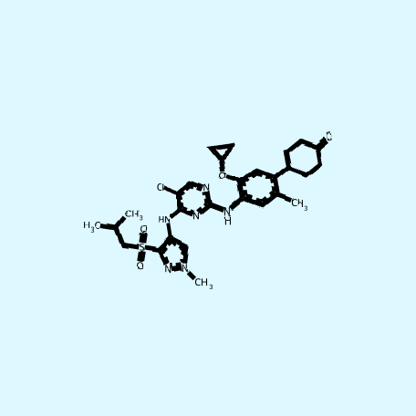 Cc1cc(Nc2ncc(Cl)c(Nc3cn(C)nc3S(=O)(=O)CC(C)C)n2)c(OC2CC2)cc1C1CCC(=O)CC1